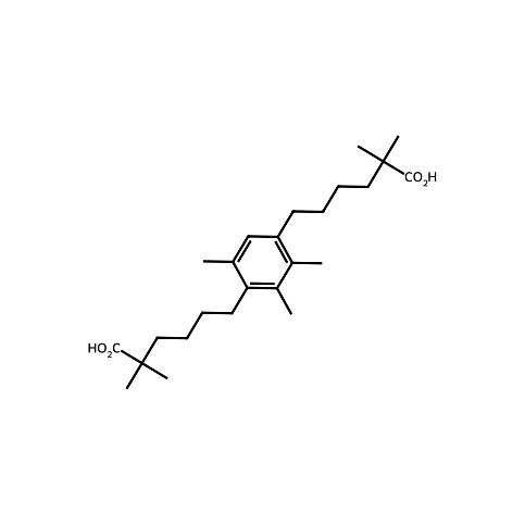 Cc1cc(CCCCC(C)(C)C(=O)O)c(C)c(C)c1CCCCC(C)(C)C(=O)O